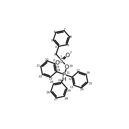 O=S(=O)(Cc1ccccc1)O[PH](c1ccccc1)(c1ccccc1)c1ccccc1